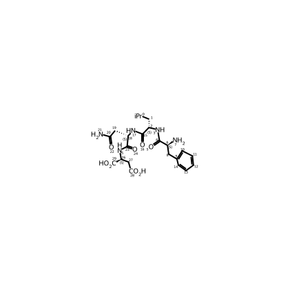 CC(C)C[C@H](NC(=O)[C@@H](N)Cc1ccccc1)C(=O)N[C@@H](CC(N)=O)C(=O)N[C@@H](CC(=O)O)C(=O)O